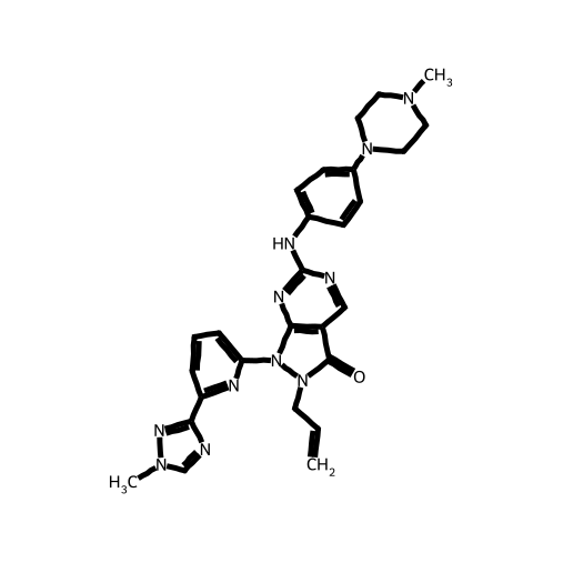 C=CCn1c(=O)c2cnc(Nc3ccc(N4CCN(C)CC4)cc3)nc2n1-c1cccc(-c2ncn(C)n2)n1